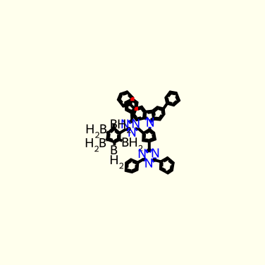 Bc1c(B)c(B)c(-c2nc(-c3ccccc3)nc(-c3cc(-c4nc(-c5ccccc5)nc(-c5ccccc5)n4)ccc3-n3c4ccc(-c5ccccc5)cc4c4cc(-c5ccccc5)ccc43)n2)c(B)c1B